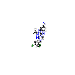 N#Cc1ccc2nc(N3CCN(Cc4ccc(F)cc4F)CC3)c(NC3CC3)nc2c1